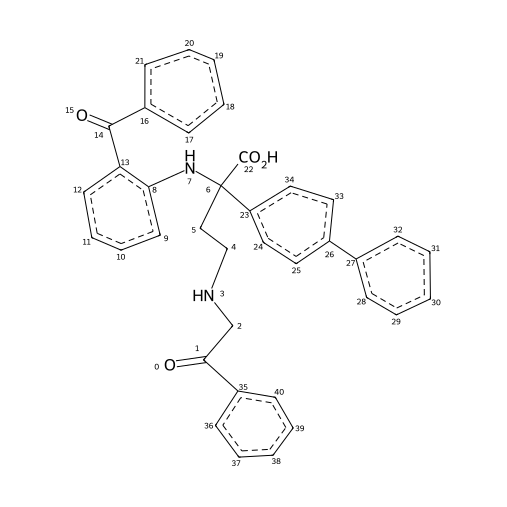 O=C(CNCCC(Nc1ccccc1C(=O)c1ccccc1)(C(=O)O)c1ccc(-c2ccccc2)cc1)c1ccccc1